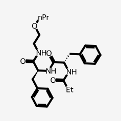 CCCOCCNC(=O)[C@H](Cc1ccccc1)NC(=O)[C@H](Cc1ccccc1)NC(=O)CC